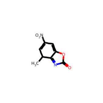 CC1C=C([N+](=O)[O-])C=C2OC(=O)N=C21